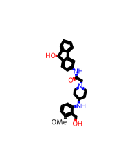 COc1cccc(NC2CCN(CC(=O)Nc3ccc4c(c3)-c3ccccc3C4O)CC2)c1CO